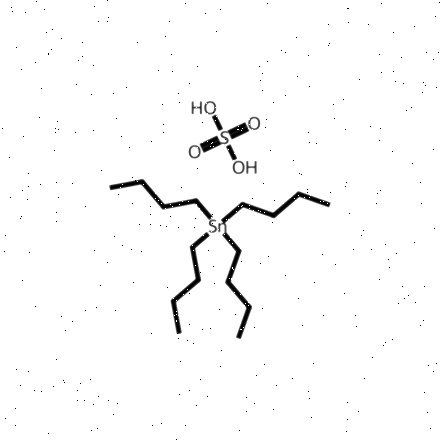 CCC[CH2][Sn]([CH2]CCC)([CH2]CCC)[CH2]CCC.O=S(=O)(O)O